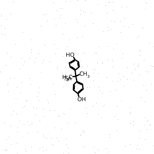 CC(C)(c1ccc(O)cc1)c1ccc(O)cc1.[Sn]